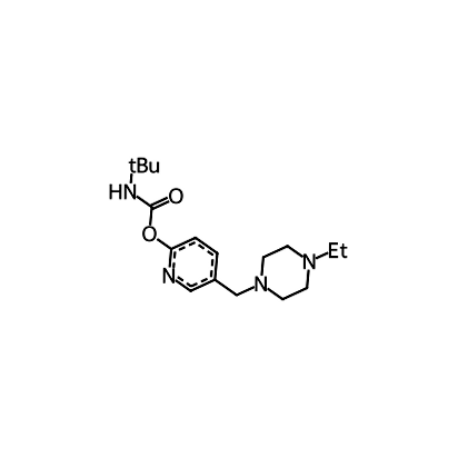 CCN1CCN(Cc2ccc(OC(=O)NC(C)(C)C)nc2)CC1